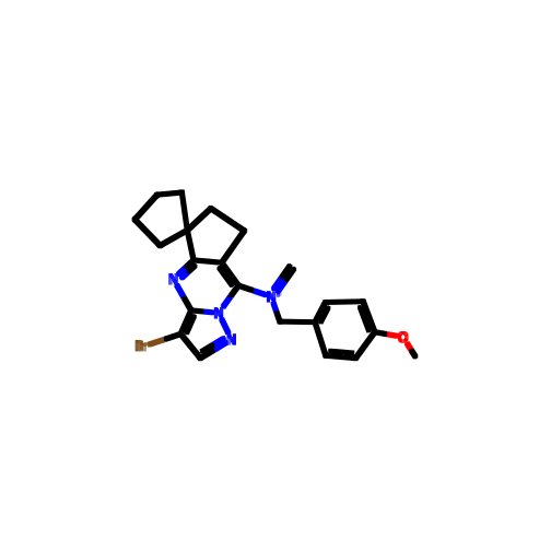 C=[N+](Cc1ccc(OC)cc1)c1c2c(nc3c(Br)cnn13)C1(CCCC1)CC2